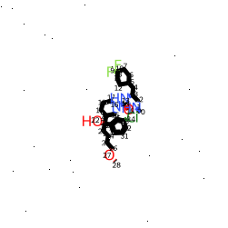 CNCC(CC1CCC(F)(F)CC1)NC(=O)N1CCCC(C(O)(CCCCOC)c2cccc(Cl)c2)C1